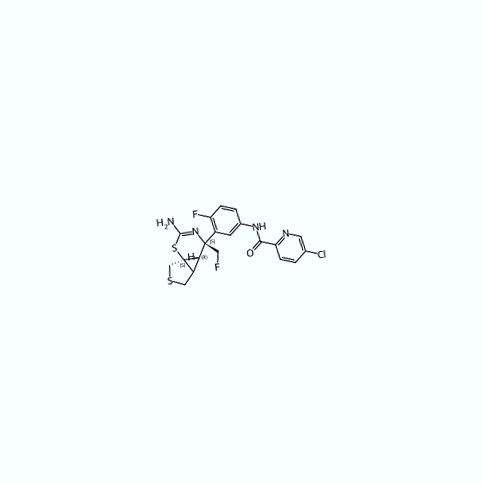 NC1=N[C@](CF)(c2cc(NC(=O)c3ccc(Cl)cn3)ccc2F)[C@H]2C3CSC[C@@]32S1